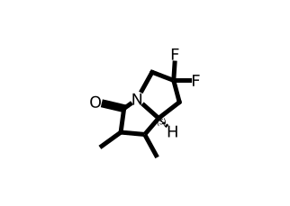 CC1C(=O)N2CC(F)(F)C[C@H]2C1C